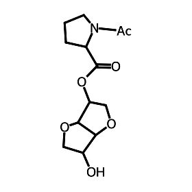 CC(=O)N1CCCC1C(=O)OC1COC2C(O)COC12